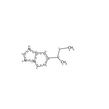 CCC(C)c1ccn2ncnc2c1